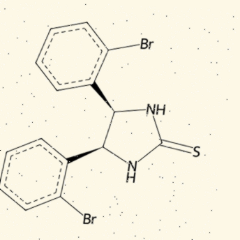 S=C1N[C@H](c2ccccc2Br)[C@H](c2ccccc2Br)N1